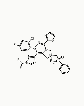 O=S(=O)(C[C@@]1(F)CC2=C(c3ccn(C(F)F)n3)[C@H](c3ccc(F)cc3Cl)N=C(c3nccs3)N2C1)c1ccccc1